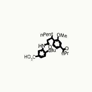 CCCCCC(CC(=O)Nc1cc(C(=O)O)ccc1C(C)(C)C)c1ccc(C(=O)CCC)cc1OC